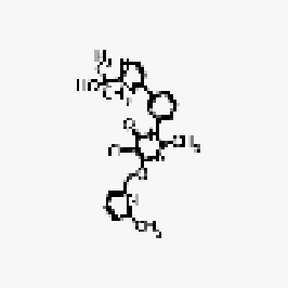 Cc1cccc(COc2nc(C)n(-c3cccc(-c4ccnc(C(C)(C)O)n4)c3)c(=O)c2Cl)n1